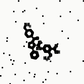 COc1cc(NC(=O)[C@@H]2[C@H](c3ccccc3)CCN2C(=O)[C@H]2CC[C@H](CN)CC2)ccc1C(=O)O